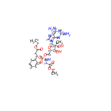 CCOC(=O)CCc1ccccc1OP(=O)(NCC(=O)OCC)OC[C@H]1O[C@@H](n2cnc3c(N)nc(N)nc32)C(C)(O)C1O